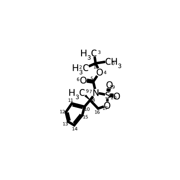 CC(C)(C)OC(=O)N1[C@@](C)(c2ccccc2)COS1(=O)=O